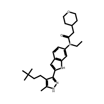 CCN(C(=O)CC1CCOCC1)c1ccc2cc(-c3n[nH]c(C)c3CCC(C)(C)C)[nH]c2c1